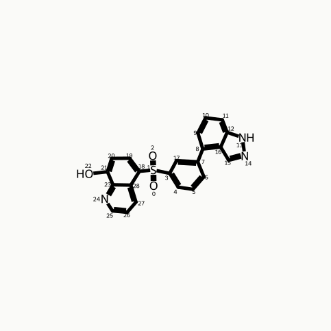 O=S(=O)(c1cccc(-c2cccc3[nH]ncc23)c1)c1ccc(O)c2ncccc12